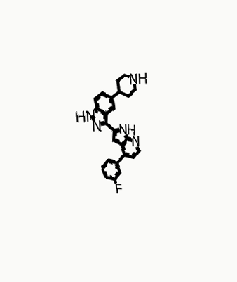 Fc1cccc(-c2ccnc3[nH]c(-c4n[nH]c5ccc(C6CCNCC6)cc45)cc23)c1